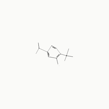 C[C](C)c1ccc(C(C)(C)C)c(Br)c1